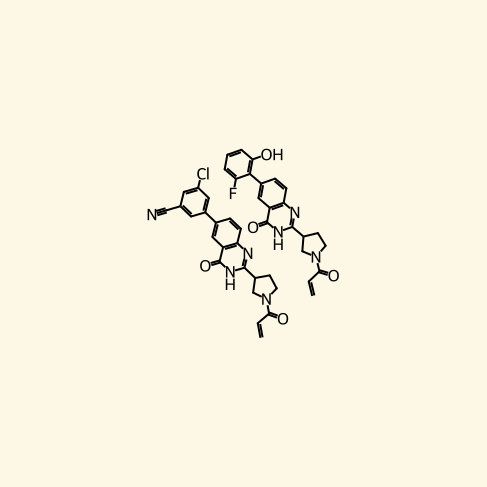 C=CC(=O)N1CCC(c2nc3ccc(-c4c(O)cccc4F)cc3c(=O)[nH]2)C1.C=CC(=O)N1CCC(c2nc3ccc(-c4cc(Cl)cc(C#N)c4)cc3c(=O)[nH]2)C1